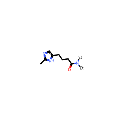 CCN(CC)C(=O)CCCc1[c]nc(C)[nH]1